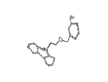 CCC(C)c1cccc(COCCn2c3ccccc3c3ccccc32)c1